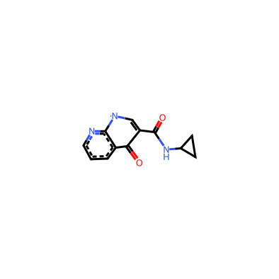 O=C(NC1CC1)C1=C[N]c2ncccc2C1=O